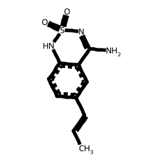 C/C=C/c1ccc2c(c1)C(N)=NS(=O)(=O)N2